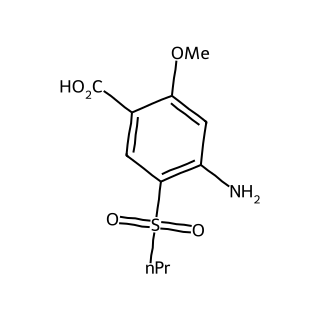 CCCS(=O)(=O)c1cc(C(=O)O)c(OC)cc1N